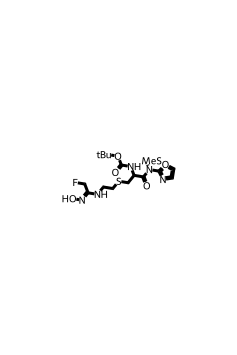 CSN(C(=O)C(CSCCN/C(CF)=N/O)NC(=O)OC(C)(C)C)c1ncco1